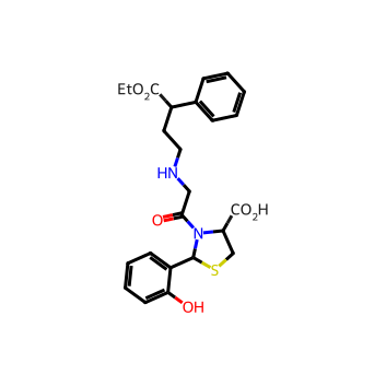 CCOC(=O)C(CCNCC(=O)N1C(C(=O)O)CSC1c1ccccc1O)c1ccccc1